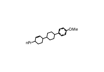 CCCC1C=CC(C2CCC(c3ccc(OC)cc3)CC2)CC1